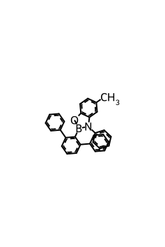 Cc1ccc2c(c1)N(c1ccccc1)B(c1c(-c3ccccc3)cccc1-c1ccccc1)O2